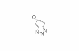 O=C1C=CC2=NN=NC2=C1